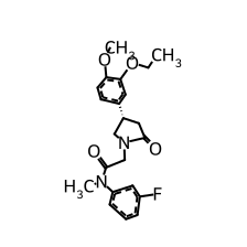 CCOc1cc([C@@H]2CC(=O)N(CC(=O)N(C)c3cccc(F)c3)C2)ccc1OC